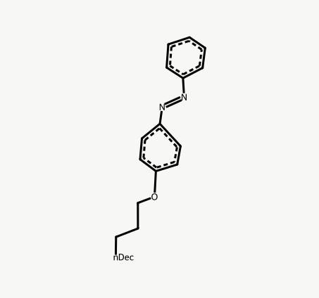 CCCCCCCCCCCCCOc1ccc(N=Nc2ccccc2)cc1